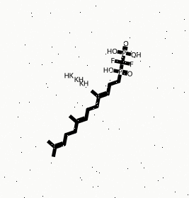 CC(C)=CCC/C(C)=C/CC/C(C)=C/CCP(=O)(O)C(F)(F)P(=O)(O)O.[KH].[KH].[KH]